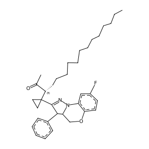 CCCCCCCCCCCCC[C@@H](C(C)=O)C1(C2=NN3c4cc(F)ccc4OCC3C2c2ccccc2)CC1